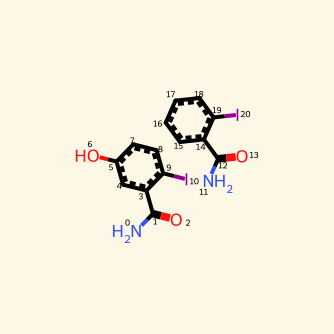 NC(=O)c1cc(O)ccc1I.NC(=O)c1ccccc1I